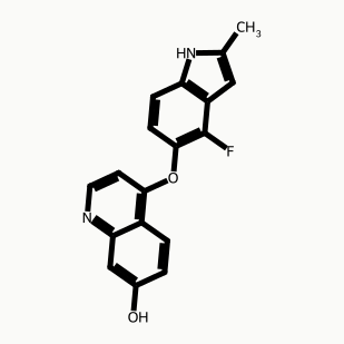 Cc1cc2c(F)c(Oc3ccnc4cc(O)ccc34)ccc2[nH]1